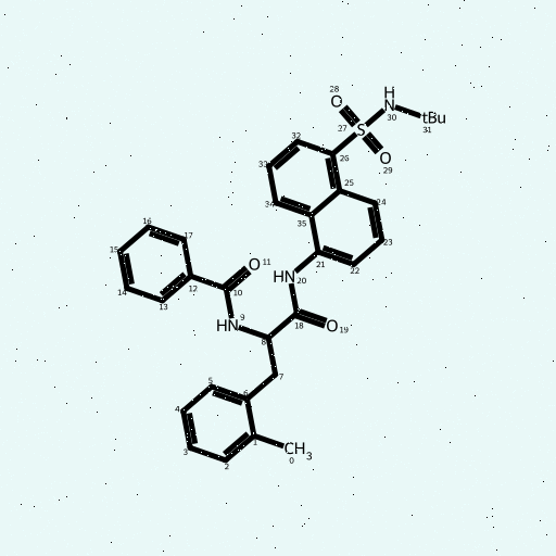 Cc1ccccc1CC(NC(=O)c1ccccc1)C(=O)Nc1cccc2c(S(=O)(=O)NC(C)(C)C)cccc12